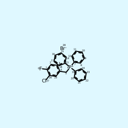 Fc1ccc(C[P+](c2ccccc2)(c2ccccc2)c2ccccc2)cc1Cl.[Br-]